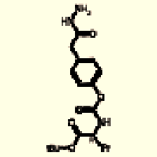 CC(C)[C@H](NC(=O)Oc1ccc(CC(=O)NN)cc1)C(=O)OC(C)(C)C